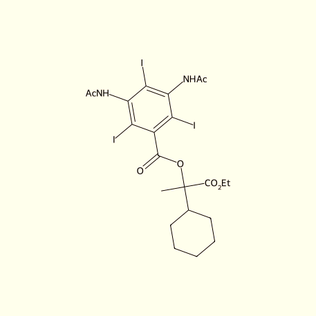 CCOC(=O)C(C)(OC(=O)c1c(I)c(NC(C)=O)c(I)c(NC(C)=O)c1I)C1CCCCC1